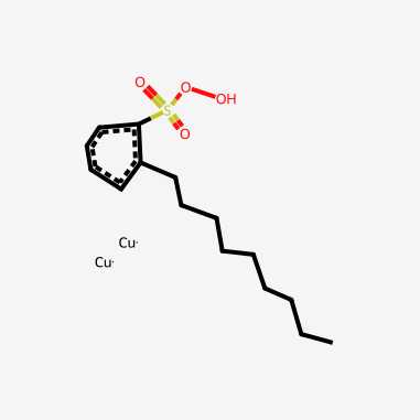 CCCCCCCCCc1ccccc1S(=O)(=O)OO.[Cu].[Cu]